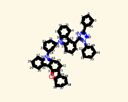 c1ccc(-c2nc(-c3cccc4c3c3ccccc3n4-c3cccc(-n4c5ccccc5c5c6oc7ccccc7c6ccc54)c3)n(-c3ccccc3)n2)cc1